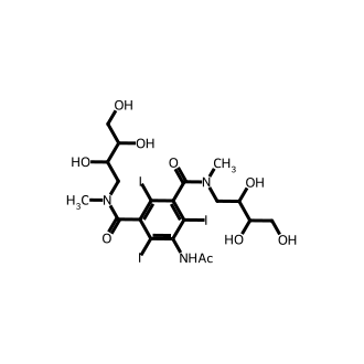 CC(=O)Nc1c(I)c(C(=O)N(C)CC(O)C(O)CO)c(I)c(C(=O)N(C)CC(O)C(O)CO)c1I